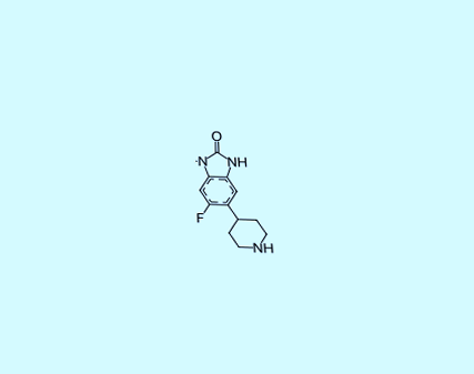 O=C1[N]c2cc(F)c(C3CCNCC3)cc2N1